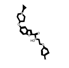 [CH]c1ccc(OCCN(O)C(=O)c2cc3cc(OC4CCN(C5CC5)CC4)ccc3o2)cc1